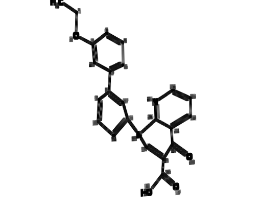 CCOc1cccc(-c2cccc(-n3cc(C(=O)O)c(=O)c4cccnc43)c2)c1